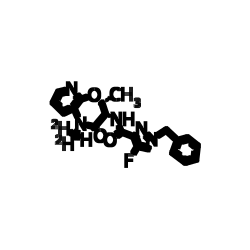 [2H]C([2H])([2H])N1C(=O)[C@@H](NC(=O)c2nn(Cc3ccccc3)cc2F)[C@@H](C)Oc2ncccc21